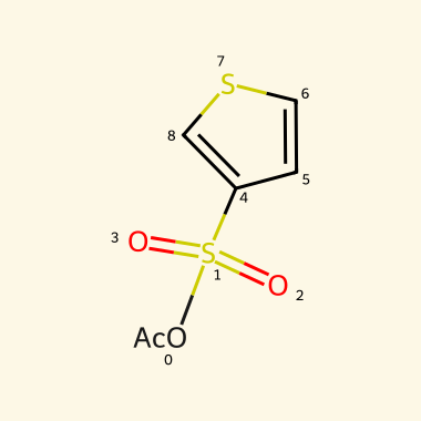 CC(=O)OS(=O)(=O)c1ccsc1